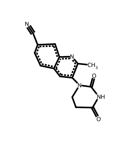 Cc1nc2cc(C#N)ccc2cc1N1CCC(=O)NC1=O